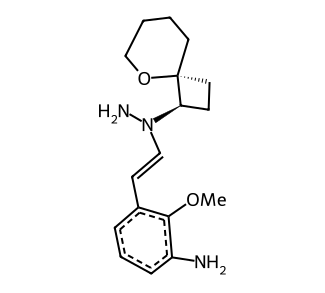 COc1c(N)cccc1/C=C/N(N)[C@@H]1CC[C@]12CCCCO2